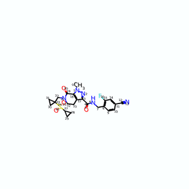 Cn1nc(C(=O)NCc2ccc(C#N)cc2F)c2c1C(=O)N(CC1(S(=O)(=O)C3CC3)CC1)CC2